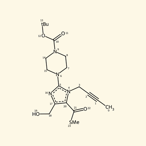 CC#CCn1c(N2CCN(C(=O)OC(C)(C)C)CC2)nc(CO)c1C(=O)SC